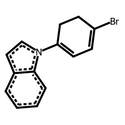 BrC1=CC=C(n2ccc3ccccc32)CC1